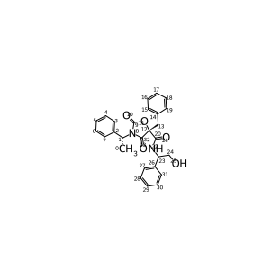 C[C@H](c1ccccc1)N1C(=O)O[C@](Cc2ccccc2)(C(=O)NC(CO)c2ccccc2)C1=O